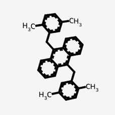 Cc1ccc(C)c(Cc2c3ccccc3c(Cc3cc(C)ccc3C)c3ccccc23)c1